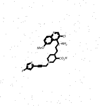 COc1ccc2ncc(Cl)c([C@H](N)CCC3CCN(CC#Cc4cc(F)cs4)CC3C(=O)O)c2c1